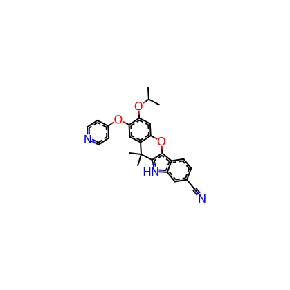 CC(C)Oc1cc2c(cc1Oc1ccncc1)C(C)(C)c1[nH]c3cc(C#N)ccc3c1O2